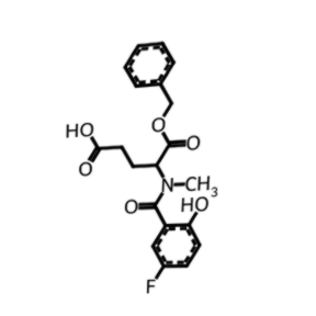 CN(C(=O)c1cc(F)ccc1O)C(CCC(=O)O)C(=O)OCc1ccccc1